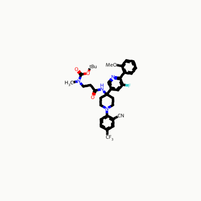 COc1ccccc1-c1ncc(C2(NC(=O)CCN(C)C(=O)OC(C)(C)C)CCN(c3ccc(C(F)(F)F)cc3C#N)CC2)cc1F